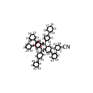 N#Cc1ccc(-c2cc(N(c3ccc(-c4ccccc4)cc3)c3ccc(-c4ccccc4)cc3)c(N(c3ccc(-c4ccccc4)cc3)c3ccc(-c4ccccc4)cc3)cc2-c2ccccc2)cc1